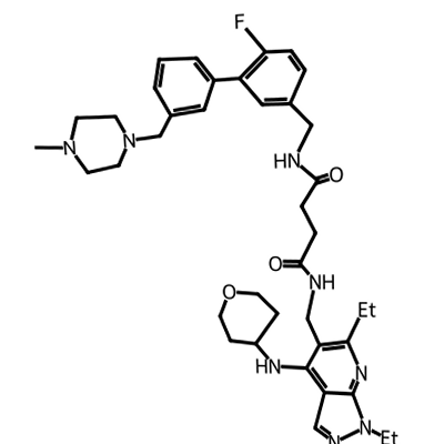 CCc1nc2c(cnn2CC)c(NC2CCOCC2)c1CNC(=O)CCC(=O)NCc1ccc(F)c(-c2cccc(CN3CCN(C)CC3)c2)c1